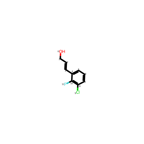 OCC=Cc1cccc(Cl)c1F